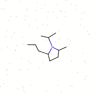 CCCC1CCC(C)N1C(C)C